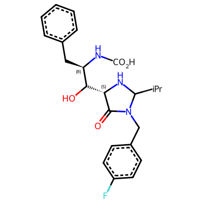 CC(C)C1N[C@@H](C(O)[C@@H](Cc2ccccc2)NC(=O)O)C(=O)N1Cc1ccc(F)cc1